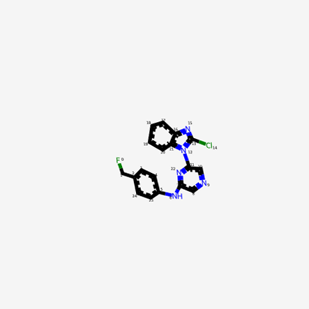 FCc1ccc(Nc2cncc(-n3c(Cl)nc4ccccc43)n2)cc1